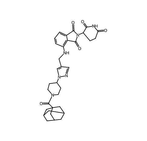 O=C1CCC(N2C(=O)c3cccc(NCc4cnn(C5CCN(C(=O)C67CC8CC(CC(C8)C6)C7)CC5)c4)c3C2=O)C(=O)N1